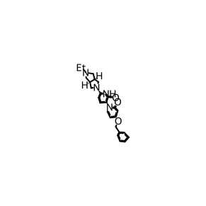 CCN1C[C@@H]2CN(c3ccc(-n4ccc(OCc5ccccc5)cc4=O)c(=O)[nH]3)C[C@@H]2C1